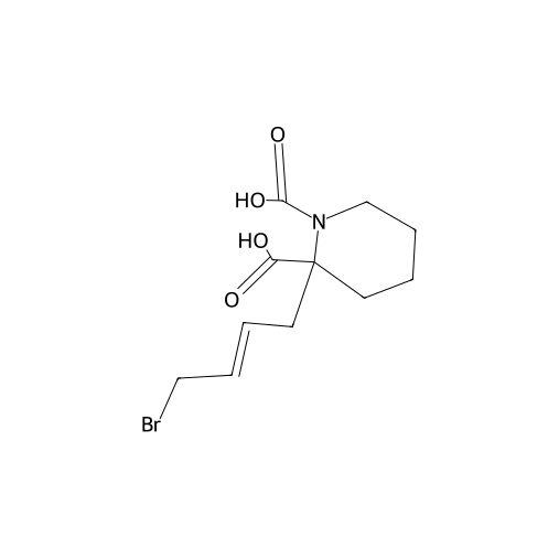 O=C(O)N1CCCCC1(CC=CCBr)C(=O)O